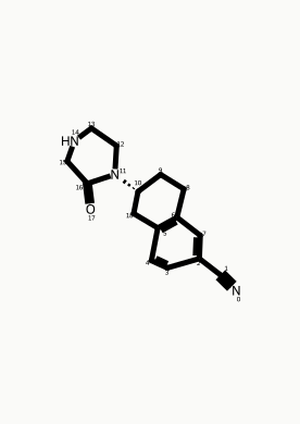 N#Cc1ccc2c(c1)CC[C@@H](N1CCNCC1=O)C2